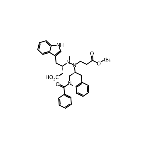 CN(C[C@H](Cc1ccccc1)N(CCC(=O)OC(C)(C)C)N[C@H](CC(=O)O)Cc1c[nH]c2ccccc12)C(=O)c1ccccc1